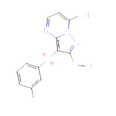 CSc1nn2c(C)ccnc2c1S(=O)(=O)c1cccc(F)c1